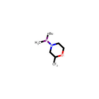 CCCCP(C)N1CCOC(C(F)(F)F)C1